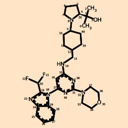 CC(C)(O)[C@@H]1CCCN1C1CCC(CNc2cc(-n3c(C(F)F)nc4ccccc43)nc(N3CCOCC3)n2)CC1